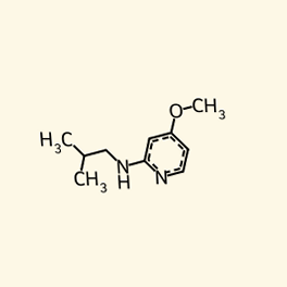 COc1ccnc(NCC(C)C)c1